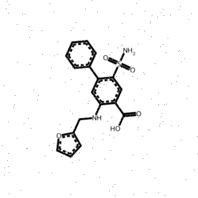 NS(=O)(=O)c1cc(C(=O)O)c(NCc2ccco2)cc1-c1ccccc1